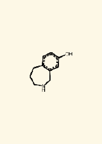 Oc1ccc2c(c1)CNCCC2